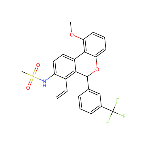 C=Cc1c(NS(C)(=O)=O)ccc2c1C(c1cccc(C(F)(F)F)c1)Oc1cccc(OC)c1-2